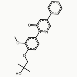 COc1cc(-n2ncc(-c3ccccc3)cc2=O)ccc1OCC(C)(C)O